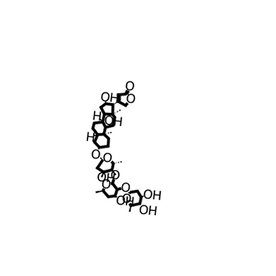 C[C@@H]1C[C@H](O)C(OC2C[C@H](O)[C@H](O)[C@@H](C)O2)C(O[C@H]2[C@@H](O)C[C@H](O[C@H]3CC[C@]4(C)C5CC[C@]6(C)[C@@H](C7=CC(=O)OC7)[C@@H](O)C[C@]6(O)[C@@H]5CC[C@@H]4C3)O[C@@H]2C)O1